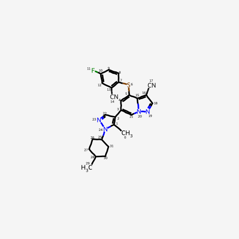 Cc1c(-c2cc(Sc3ccc(F)cc3C#N)c3c(C#N)cnn3c2)cnn1C1CCC(C)CC1